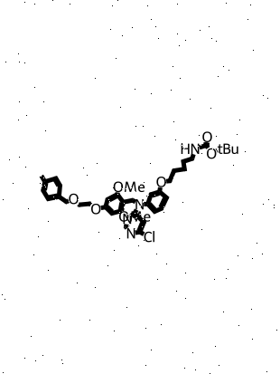 COc1cc(OCCOCc2ccc(C)cc2)cc(OC)c1CN(c1cccc(OCCCCCNC(=O)OC(C)(C)C)c1)c1cc(Cl)ncn1